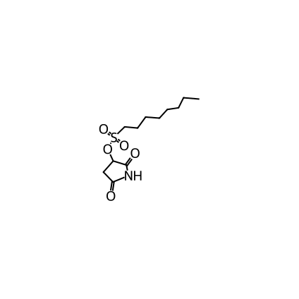 CCCCCCCCS(=O)(=O)OC1CC(=O)NC1=O